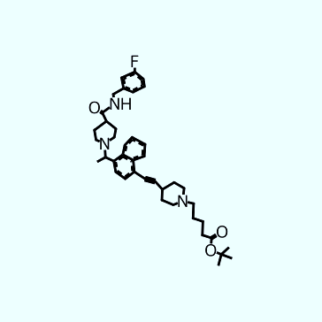 CC(c1ccc(C#CC2CCN(CCCCC(=O)OC(C)(C)C)CC2)c2ccccc12)N1CCC(C(=O)NCc2cccc(F)c2)CC1